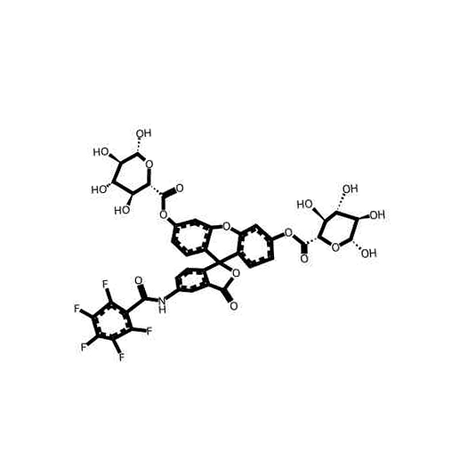 O=C1OC2(c3ccc(OC(=O)[C@H]4O[C@@H](O)[C@H](O)[C@@H](O)[C@@H]4O)cc3Oc3cc(OC(=O)[C@H]4O[C@@H](O)[C@H](O)[C@@H](O)[C@@H]4O)ccc32)c2ccc(NC(=O)c3c(F)c(F)c(F)c(F)c3F)cc21